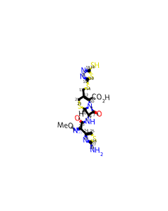 CO/N=C(\C(=O)N[C@@H]1C(=O)N2C(C(=O)O)=C(CSc3nnc(S)s3)CS[C@@H]12)c1csc(N)n1